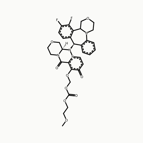 COCCOC(=O)OCOc1c2n(ccc1=O)N([C@@H]1c3ccccc3N3CCOCC3c3c1ccc(F)c3F)[C@@H]1COCCN1C2=O